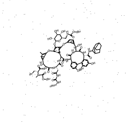 CCCCCCCCCNC(=O)NC(=O)C[C@@H]1NC(=O)[C@H](NC(=O)[C@@H](CC(C)C)N(C)C(=O)OC(C)(C)C)[C@H](O)C2=CC(C)=C(Oc3cc4cc(c3O[C@@H]3O[C@H](CNC(=O)OC(C)(C)C)[C@@H](O)[C@H](O)[C@H]3O)OC3=CC=C([C@@H](O)[C@@H]5NC(=O)[C@H](NC(=O)C4NC1=O)c1ccc(O)c(c1)-c1c(O)cc(O)cc1[C@@H](C(=O)NC1C4CC6CC(C4)CC1C6)NC5=O)[C@]3(C)Cl)C2C